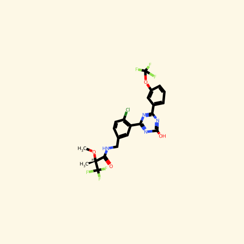 CO[C@](C)(C(=O)NCc1ccc(Cl)c(-c2nc(O)nc(-c3cccc(OC(F)(F)F)c3)n2)c1)C(F)(F)F